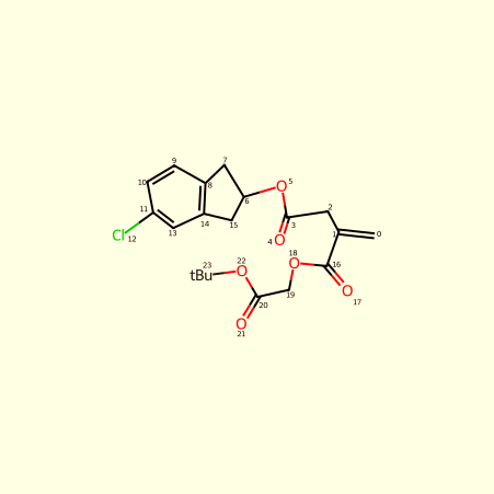 C=C(CC(=O)OC1Cc2ccc(Cl)cc2C1)C(=O)OCC(=O)OC(C)(C)C